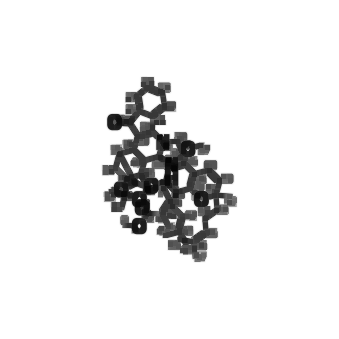 COC(=O)/C(C)=C\CC12OC(C)(C)C3CC(C1=O)C1C4=C(c5ccccc5C4=O)N4CCNC45c4c(OC)c6c(c(CC=C(C)C)c4OC32C15)OC(C)(CCC=C(C)C)C=C6